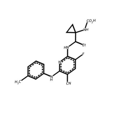 CCC(Nc1nc(Nc2cccc(C)c2)c(C#N)cc1F)C1(NC(=O)O)CC1